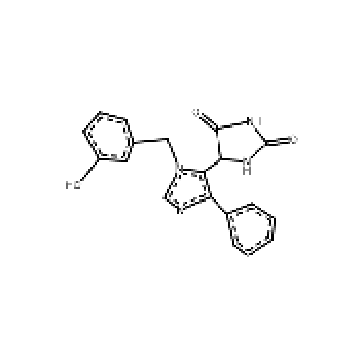 O=C1NC(=O)C(c2c(-c3ccccc3)ncn2Cc2cccc(O)c2)N1